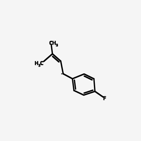 CC(C)=C[CH]c1ccc(F)cc1